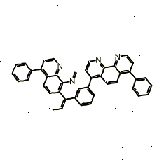 C=Nc1c(/C(=C\C)c2cccc(-c3ccnc4c3ccc3c(-c5ccccc5)ccnc34)c2)ccc2c(-c3ccccc3)ccnc12